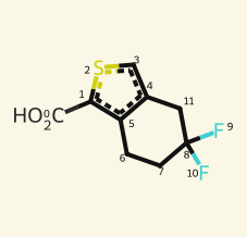 O=C(O)c1scc2c1CCC(F)(F)C2